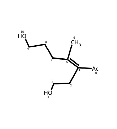 CC(=O)/C(CCO)=C(\C)CCCO